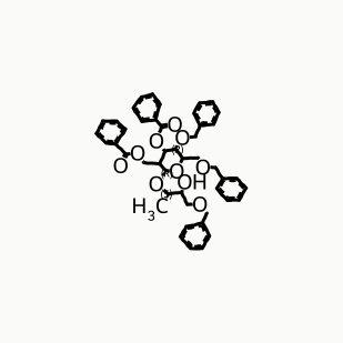 C[C@H](O[C@@H]1OC(COCc2ccccc2)[C@H](OCc2ccccc2)C(OC(=O)c2ccccc2)C1COC(=O)c1ccccc1)C(O)COCc1ccccc1